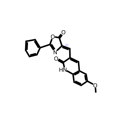 COc1ccc2[nH]c(=O)c(/C=C3\N=C(c4ccccc4)OC3=O)cc2c1